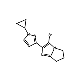 Brc1c(-c2ccn(C3CC3)n2)nc2n1CCC2